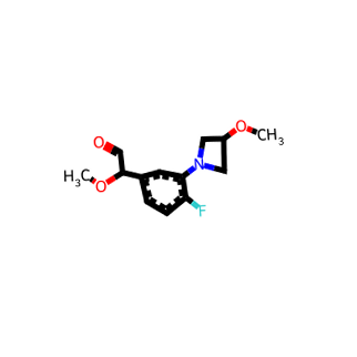 COC1CN(c2cc(C(C=O)OC)ccc2F)C1